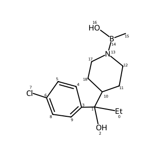 CCC(O)(c1ccc(Cl)cc1)C1CCN(B(C)O)CC1